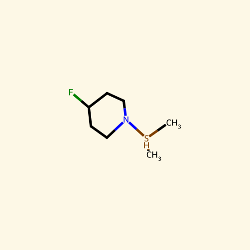 C[SH](C)N1CCC(F)CC1